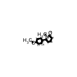 COc1ccc(-c2cccc(=O)n2C)cc1